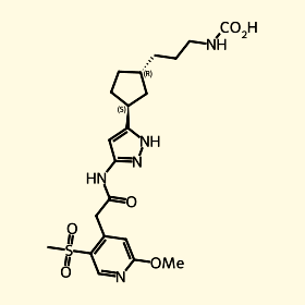 COc1cc(CC(=O)Nc2cc([C@H]3CC[C@H](CCCNC(=O)O)C3)[nH]n2)c(S(C)(=O)=O)cn1